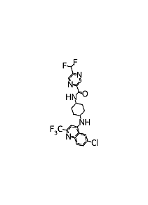 O=C(NC1CCC(Nc2cc(C(F)(F)F)nc3ccc(Cl)cc23)CC1)c1cnc(C(F)F)cn1